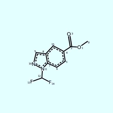 COC(=O)c1ccc2c(cnn2C(F)F)c1